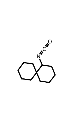 O=C=NC1C[CH]CCC12CCCCC2